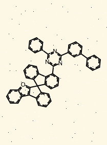 c1ccc(-c2cccc(-c3nc(-c4ccccc4)nc(-c4cccc5c4-c4ccccc4C54c5ccccc5-c5c4oc4ccccc54)n3)c2)cc1